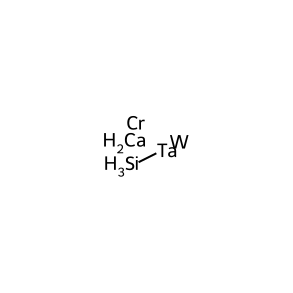 [CaH2].[Cr].[SiH3][Ta].[W]